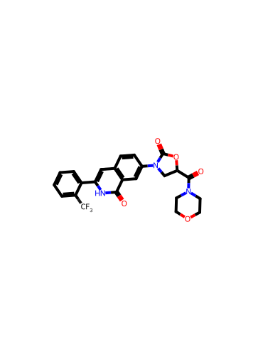 O=C(C1CN(c2ccc3cc(-c4ccccc4C(F)(F)F)[nH]c(=O)c3c2)C(=O)O1)N1CCOCC1